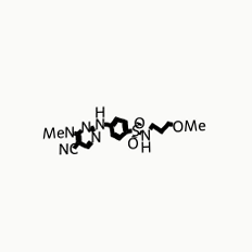 CNc1nc(Nc2ccc(S(=O)(=O)NCCCOC)cc2)ncc1C#N